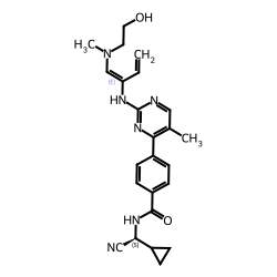 C=C/C(=C\N(C)CCO)Nc1ncc(C)c(-c2ccc(C(=O)N[C@H](C#N)C3CC3)cc2)n1